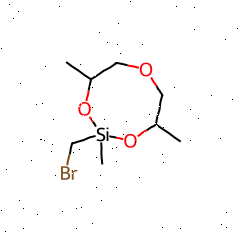 CC1COCC(C)O[Si](C)(CBr)O1